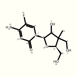 CC1(CO)C(O)[C@H](n2cc(F)c(N)nc2=O)O[C@@H]1CO